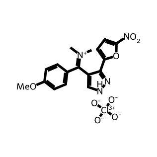 COc1ccc(C(c2c[nH]nc2-c2ccc([N+](=O)[O-])o2)=[N+](C)C)cc1.[O-][Cl+3]([O-])([O-])[O-]